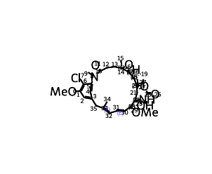 COc1cc2cc(c1Cl)N(C)C(=O)CC[C@]1(C)O[C@H]1[C@H](C)[C@@H]1C[C@@](O)(NC(=O)O1)[C@H](OC)/C=C/C=C(\C)C2